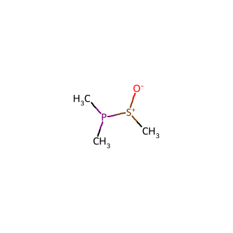 CP(C)[S+](C)[O-]